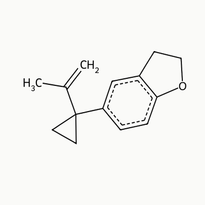 C=C(C)C1(c2ccc3c(c2)CCO3)CC1